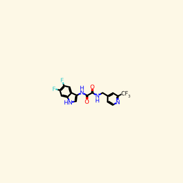 O=C(NCc1ccnc(C(F)(F)F)c1)C(=O)Nc1c[nH]c2cc(F)c(F)cc12